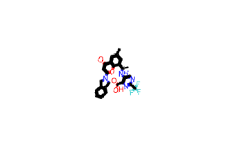 Cc1cc([C@@H](C)Nc2cnc(C(F)(F)F)nc2C(=O)O)c2oc(N3Cc4ccccc4C3)cc(=O)c2c1